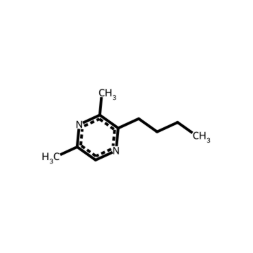 CCCCc1ncc(C)nc1C